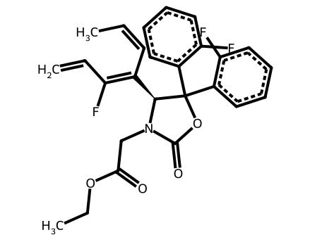 C=C/C(F)=C(\C=C/C)[C@@H]1N(CC(=O)OCC)C(=O)OC1(c1ccccc1F)c1ccccc1F